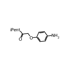 CCCC(C)C(=O)COc1ccc(N)cc1